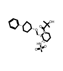 CC(C)(O)C(=O)N1CCC[C@H](NS(C)(=O)=O)[C@@H]1CO[C@H]1CC[C@@H](c2ccccc2)CC1